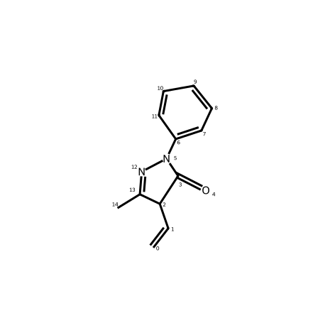 C=CC1C(=O)N(c2ccccc2)N=C1C